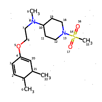 CC1C=CC(OCCN(C)C2CCN(S(C)(=O)=O)CC2)=CC1C